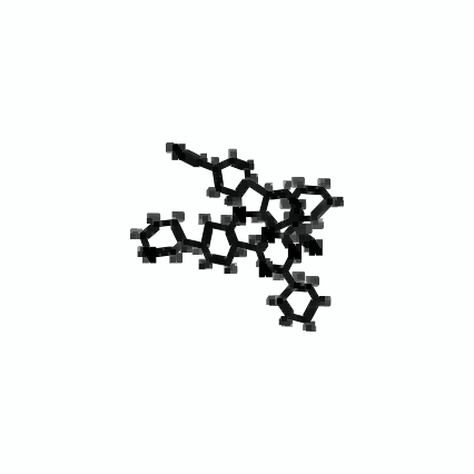 N#Cc1ccc2c3ccc(C#N)cc3n(-c3cc(-c4cccnc4)ccc3-c3nc(-c4ccccc4)nc(-c4ccccc4)n3)c2c1